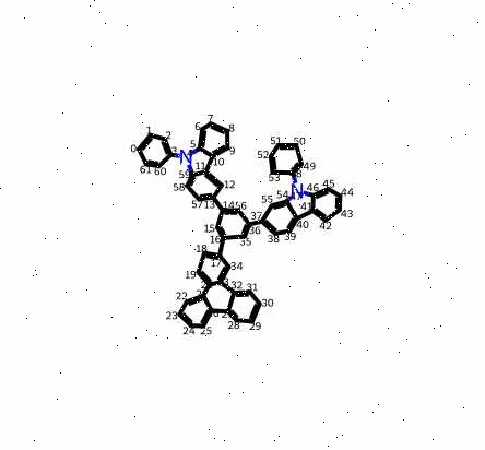 c1ccc(-n2c3ccccc3c3cc(-c4cc(-c5ccc6c7ccccc7c7ccccc7c6c5)cc(-c5ccc6c7ccccc7n(-c7ccccc7)c6c5)c4)ccc32)cc1